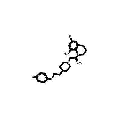 C=C(CN1CCC(CCOc2ccc(F)cc2)CC1)N1CCCc2cc(F)cc(N)c21